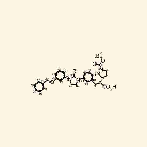 CC(C)(C)OC(=O)N1CC[C@H](C(Cc2cccc(N3CCN(c4cccc(OCc5ccccc5)c4)C3=O)c2)C(=O)O)C1